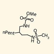 CCCCCC(CCNS(C)(=O)=O)CNS(=O)(=O)OC